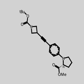 COC(=O)[C@H]1CCCN1c1ccc(C#CC2CN(C(=O)OC(C)(C)C)C2)cc1